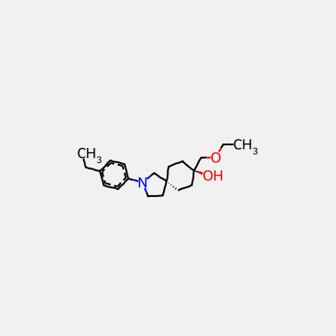 CCOC[C@]1(O)CC[C@@]2(CCN(c3ccc(CC)cc3)C2)CC1